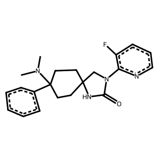 CN(C)C1(c2ccccc2)CCC2(CC1)CN(c1ncccc1F)C(=O)N2